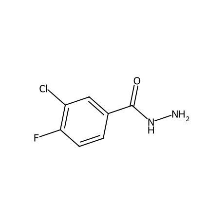 NNC(=O)c1ccc(F)c(Cl)c1